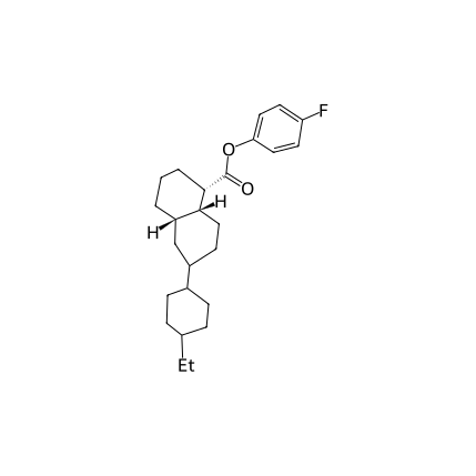 CCC1CCC(C2CC[C@@H]3[C@@H](CCC[C@@H]3C(=O)Oc3ccc(F)cc3)C2)CC1